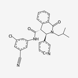 CC(C)CN1C(=O)c2ccccc2[C@@H](C(=O)Nc2cc(Cl)cc(C#N)c2)[C@@H]1c1cccnc1